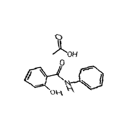 CC(=O)O.O=C(Nc1ccccc1)c1ccccc1O